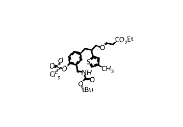 CCOC(=O)CCOCC(Cc1ccc(OS(=O)(=O)C(F)(F)F)c(CNC(=O)OC(C)(C)C)c1)c1cc(C)cs1